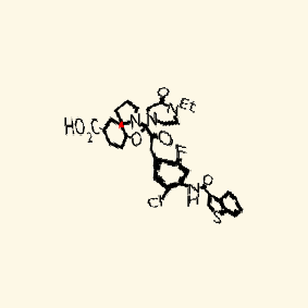 CCN1CCN(C(O[C@H]2CC[C@H](C(=O)O)CC2)(C(=O)Cc2cc(Cl)c(NC(=O)c3csc4ccccc34)cc2F)N2CCCC2)CC1=O